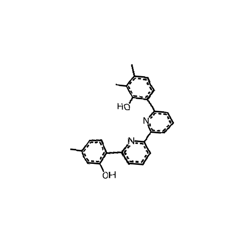 Cc1ccc(-c2cccc(-c3cccc(-c4ccc(C)c(C)c4O)n3)n2)c(O)c1